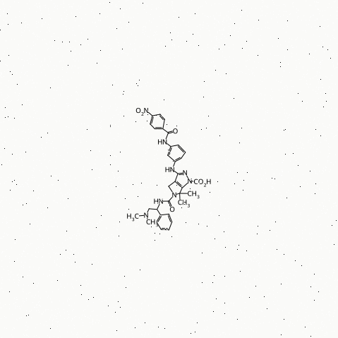 CN(C)CC(NC(=O)N1Cc2c(Nc3cccc(NC(=O)c4ccc([N+](=O)[O-])cc4)c3)nn(C(=O)O)c2C1(C)C)c1ccccc1